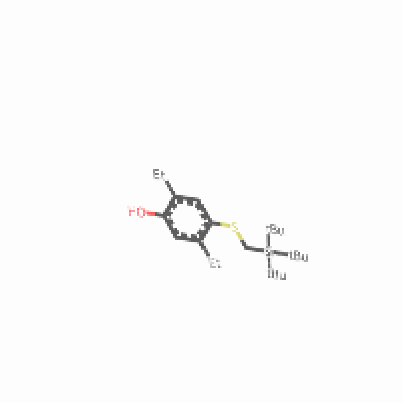 CCc1cc(SC[Si](C(C)(C)C)(C(C)(C)C)C(C)(C)C)c(CC)cc1O